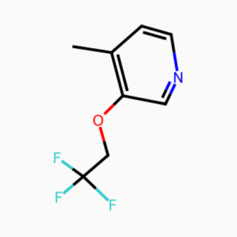 Cc1ccncc1OCC(F)(F)F